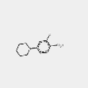 O=C(O)c1ccc(N2CCCCC2)cc1Cl